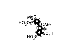 COc1ccc(-c2oc3cc(C(=O)O)cc(C(=O)O)c3c(=O)c2OC)cc1OCC(=O)O